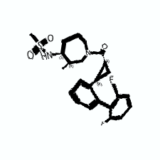 C[C@@H]1CN(C(=O)[C@@H]2C[C@H]2c2ccccc2-c2c(F)cccc2F)CCC[C@@H]1NS(C)(=O)=O